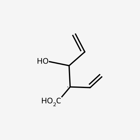 C=C[C](C(=O)O)C(O)C=C